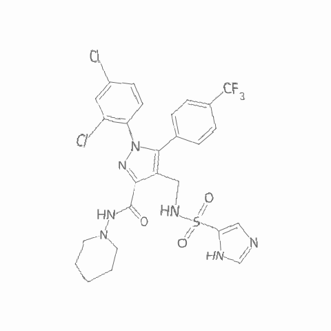 O=C(NN1CCCCC1)c1nn(-c2ccc(Cl)cc2Cl)c(-c2ccc(C(F)(F)F)cc2)c1CNS(=O)(=O)c1cnc[nH]1